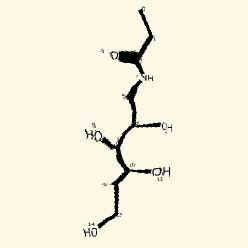 CCC(=O)NC[C@@H](O)[C@H](O)[C@@H](O)CCO